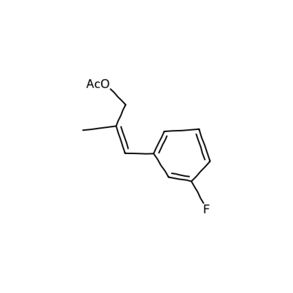 CC(=O)OCC(C)=Cc1cccc(F)c1